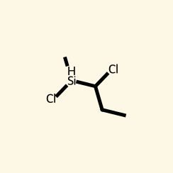 CCC(Cl)[SiH](C)Cl